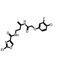 C=C(CCNC(=O)c1coc(CC)n1)NC(=O)COc1ccc(Cl)c(F)c1